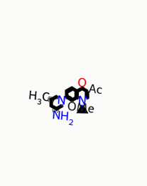 COc1c(N2C[C@H](C)C[C@H](N)C2)ccc2c(=O)c(C(C)=O)cn(C3CC3)c12